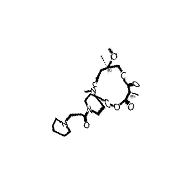 CO[C@]1(C)CCCN(C)C2(CCN(C(=O)CN3CCCCC3)CC2)COC(=O)[C@H](C)C(=O)CC1